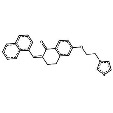 O=C1C(=Cc2cccc3ccccc23)CCc2cc(OCCn3ccnc3)ccc21